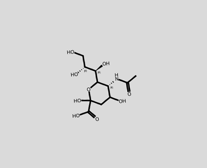 CC(=O)N[C@@H]1C(O)CC(O)(C(=O)O)OC1[C@H](O)[C@H](O)CO